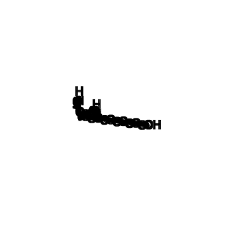 CCC(COCCC[Si](C)(C)O[SiH](C)C)(COCCC[Si](C)(C)O[SiH](C)C)COCCOCCOCCOCCOCCOCCOCCOCCOCCOCCO